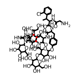 CC(c1ccccc1Cl)C(NC(=O)CN)C(=O)NC(Cc1ccc(OC2OC(CO)C(OC3OC(CO)C(O)C(O)C3O)C(O)C2O)cc1)C(=O)NC(C(=O)NC(C(=O)NC([C]=O)CO)C(O)C1CNC(=N)N1C1OC(CO)C(O)C(O)C1O)C(O)C1CNC(=N)N1